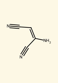 N#C/C=C(/N)C#N